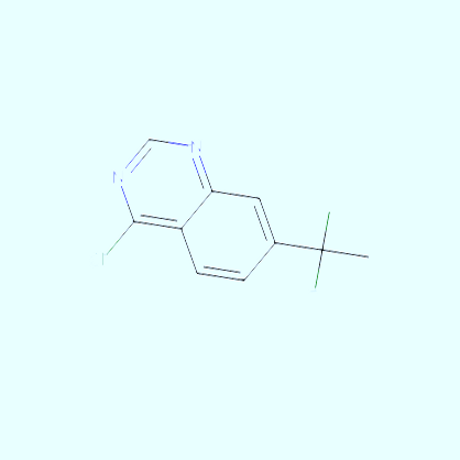 CC(F)(F)c1ccc2c(Cl)ncnc2c1